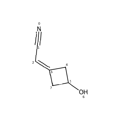 N#CC=C1CC(O)C1